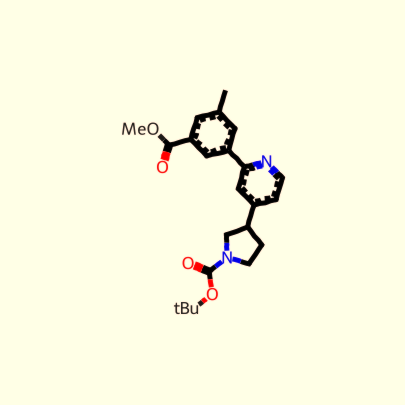 COC(=O)c1cc(C)cc(-c2cc(C3CCN(C(=O)OC(C)(C)C)C3)ccn2)c1